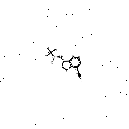 CC(C)(C)[S+]([O-])N[C@@H]1CCc2c(C#N)cccc21